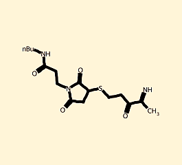 CCCCNC(=O)CCN1C(=O)CC(SCCC(=O)C(C)=N)C1=O